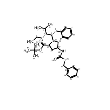 CCC[C@H](C(C)O)[C@H](Cc1ccccc1)N1CC(NC(=O)OCc2ccccc2)CC1C(=O)OC(C)(C)C